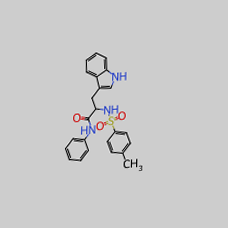 Cc1ccc(S(=O)(=O)NC(Cc2c[nH]c3ccccc23)C(=O)Nc2ccccc2)cc1